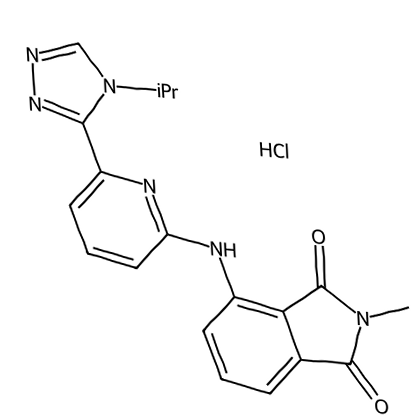 CC(C)n1cnnc1-c1cccc(Nc2cccc3c2C(=O)N(C)C3=O)n1.Cl